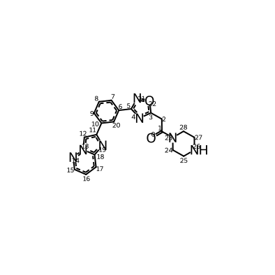 O=C(Cc1nc(-c2cccc(-c3cn4ncccc4n3)c2)no1)N1CCNCC1